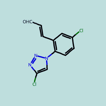 O=CC=Cc1cc(Cl)ccc1-n1cc(Cl)nn1